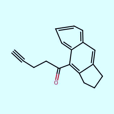 C#CCCC(=O)c1c2c(cc3ccccc13)CCC2